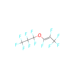 FC(OC(F)(F)C(F)(F)C(F)(F)F)=C(F)C(F)(F)F